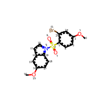 COc1ccc(S(=O)(=O)n2ccc3cc(OC)ccc32)c(Br)c1